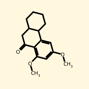 COc1cc(OC)c2c(c1)C1CCCCC1CC2=O